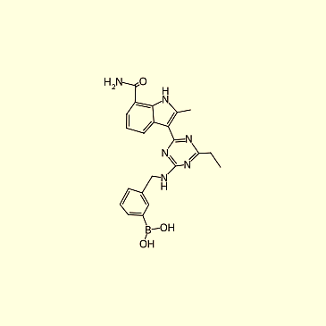 CCc1nc(NCc2cccc(B(O)O)c2)nc(-c2c(C)[nH]c3c(C(N)=O)cccc23)n1